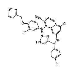 N#Cc1cnc2c(Cl)cc(NC(c3ccc(Cl)cc3)c3c[nH]nn3)cc2c1Nc1ccc(OCc2ccccc2)c(Cl)c1